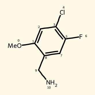 COc1cc(Cl)c(F)cc1CN